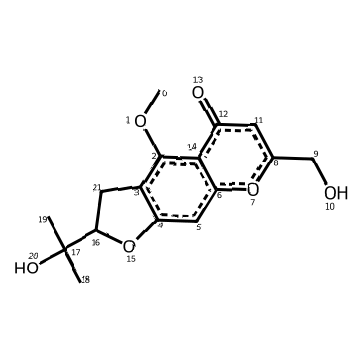 COc1c2c(cc3oc(CO)cc(=O)c13)OC(C(C)(C)O)C2